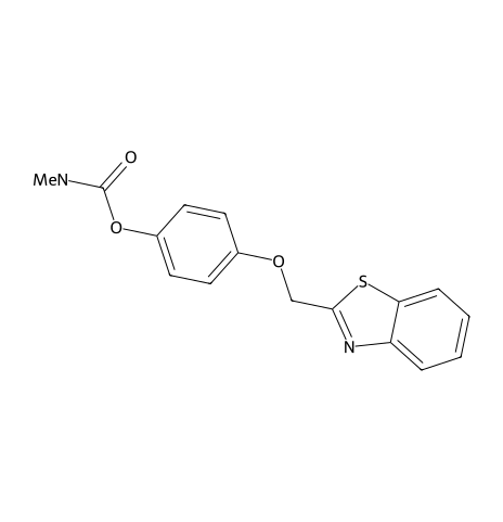 CNC(=O)Oc1ccc(OCc2nc3ccccc3s2)cc1